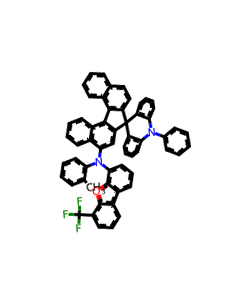 Cc1ccccc1N(c1cc2c(c3ccccc13)-c1c(ccc3ccccc13)C21c2ccccc2N(c2ccccc2)c2ccccc21)c1cccc2c1oc1c(C(F)(F)F)cccc12